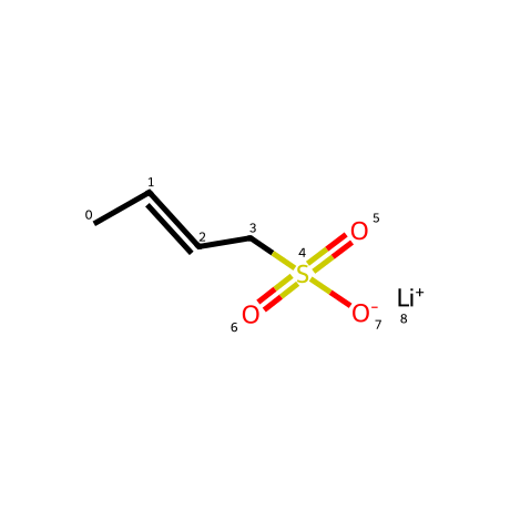 CC=CCS(=O)(=O)[O-].[Li+]